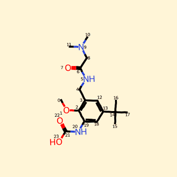 COc1c(CNC(=O)CN(C)C)cc(C(C)(C)C)cc1NC(=O)O